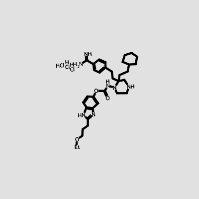 CCOCCCc1nc2cc(OC(=O)NN3CCNCC3(CCc3ccc(C(=N)N)cc3)CCC3CCCCC3)ccc2[nH]1.Cl.Cl.Cl